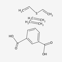 C=C.C=C.C=CSC=C.O=C(O)c1cccc(C(=O)O)c1